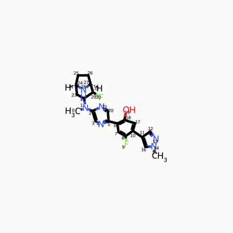 CN(c1cnc(-c2cc(F)c(-c3cnn(C)c3)cc2O)cn1)C1C[C@H]2CC[C@H](N2)C1F